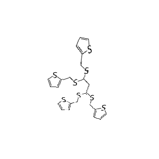 c1csc(CS[C](CC(SCc2cccs2)SCc2cccs2)SCc2cccs2)c1